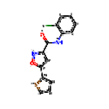 O=C(Nc1ccccc1F)c1cc(-c2cccs2)on1